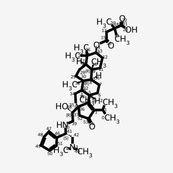 CC(C)C1=C2[C@H]3CC[C@@H]4[C@@]5(C)CC[C@H](OC(=O)CC(C)(C)C(=O)O)C(C)(C)[C@@H]5CC[C@@]4(C)[C@]3(C)CC[C@@]2([C@@H](O)CN[C@H](CN(C)C)c2ccccc2)CC1=O